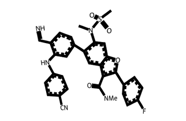 CNC(=O)c1c(-c2ccc(F)cc2)oc2cc(N(C)S(C)(=O)=O)c(-c3ccc(C=N)c(Nc4ccc(C#N)cc4)c3)cc12